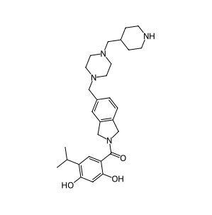 CC(C)c1cc(C(=O)N2Cc3ccc(CN4CCN(CC5CCNCC5)CC4)cc3C2)c(O)cc1O